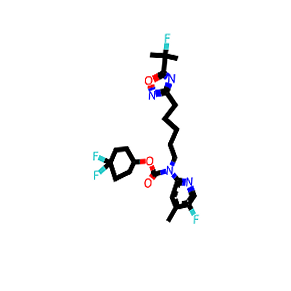 Cc1cc(N(CCCCCc2noc(C(C)(C)F)n2)C(=O)OC2CCC(F)(F)CC2)ncc1F